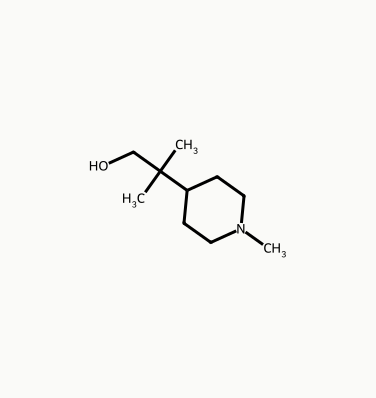 CN1CCC(C(C)(C)CO)CC1